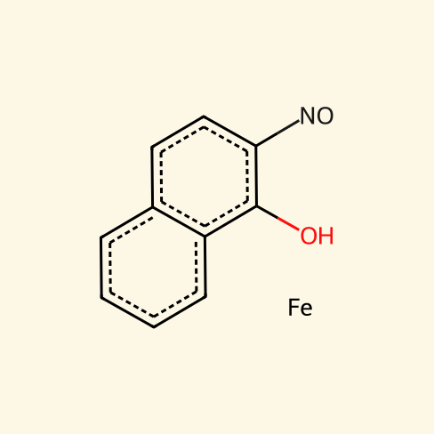 O=Nc1ccc2ccccc2c1O.[Fe]